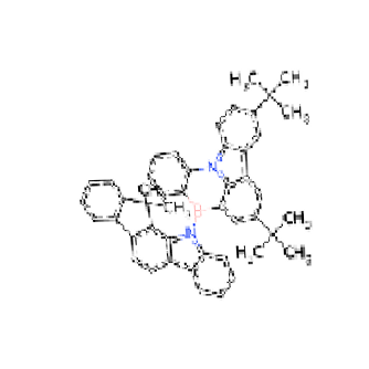 CC(C)(C)c1ccc2c(c1)c1cc(C(C)(C)C)cc3c1n2-c1ccccc1B3n1c2ccccc2c2ccc3c(c21)C(C)(C)c1ccccc1-3